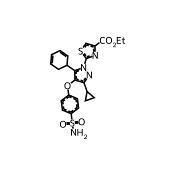 CCOC(=O)c1csc(-n2nc(C3CC3)c(Oc3ccc(S(N)(=O)=O)cc3)c2C2C=CC=CC2)n1